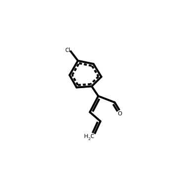 C=CC=C(C=O)c1ccc(Cl)cc1